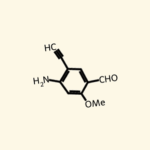 C#Cc1cc(C=O)c(OC)cc1N